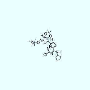 CC1(C)O[C@@H]2[C@@H](CO[Si](C)(C)C(C)(C)C)OC(c3ccc4c(NC5CCCC5)nc(Cl)nn34)[C@@H]2O1